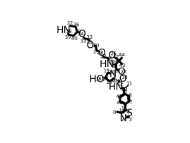 Cc1ncsc1-c1ccc([C@H](C)NC(=O)[C@@H]2C[C@@H](O)CN2C(=O)[C@@H](NC(=O)COCCOCCOC2CCNCC2)C(C)(C)C)cc1